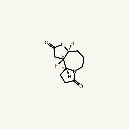 O=C1C[C@@H]2[C@H](CCCN3C(=O)CC[C@H]23)O1